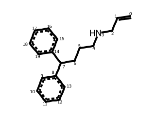 C=CCNCCCC(c1ccccc1)c1ccccc1